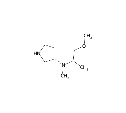 COCC(C)N(C)[C@H]1CCNC1